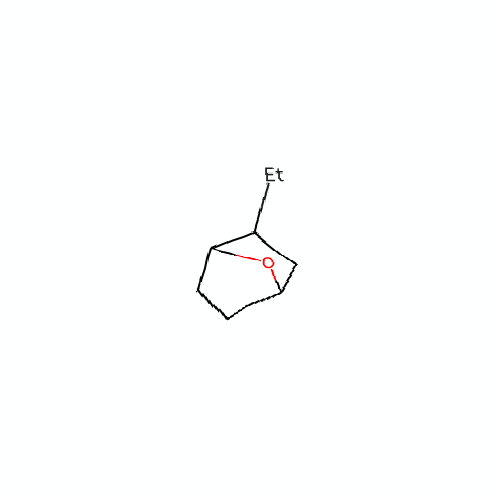 CCC1CC2CCC1O2